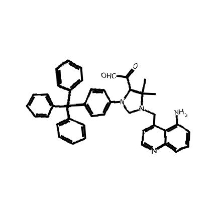 CC1(C)C(C(=O)C=O)N(c2ccc(C(c3ccccc3)(c3ccccc3)c3ccccc3)cc2)CN1Cc1ccnc2cccc(N)c12